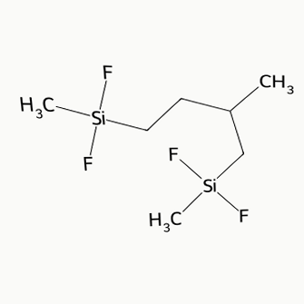 CC(CC[Si](C)(F)F)C[Si](C)(F)F